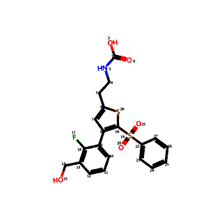 O=C(O)NCCc1cc(-c2cccc(CO)c2F)c(S(=O)(=O)c2ccccc2)s1